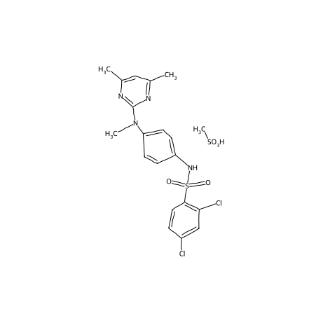 CS(=O)(=O)O.Cc1cc(C)nc(N(C)c2ccc(NS(=O)(=O)c3ccc(Cl)cc3Cl)cc2)n1